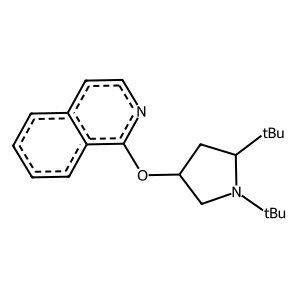 CC(C)(C)C1CC(Oc2nccc3ccccc23)CN1C(C)(C)C